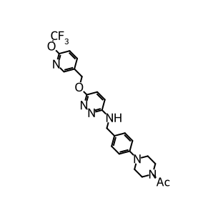 CC(=O)N1CCN(c2ccc(CNc3ccc(OCc4ccc(OC(F)(F)F)nc4)nn3)cc2)CC1